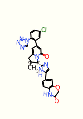 C[C@H]1Cc2cc(-c3cc(Cl)ccc3-n3cnnn3)cc(=O)n2[C@@H]1c1ncc(-c2ccc3c(c2)OCC(=O)N3)[nH]1